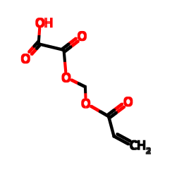 C=CC(=O)OCOC(=O)C(=O)O